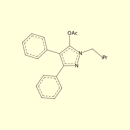 CC(=O)Oc1c(-c2ccccc2)c(-c2ccccc2)nn1CC(C)C